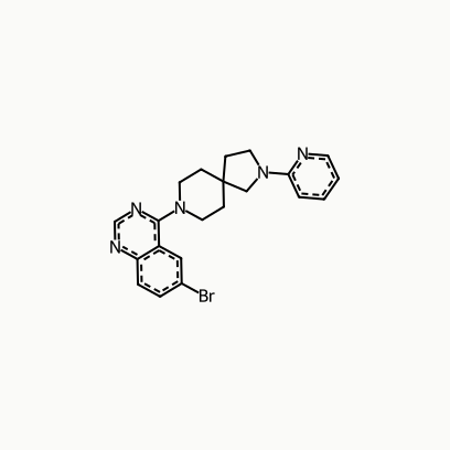 Brc1ccc2ncnc(N3CCC4(CCN(c5ccccn5)C4)CC3)c2c1